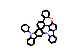 C1=CCC(n2c3ccccc3c3cc(-n4c5ccccc5c5ccc6c(c54)-c4ccccc4-c4ccccc4O6)ccc32)C=C1